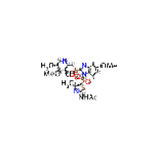 COc1ccc2c(c1)nc([S+]([O-])Cc1ncc(C)c(OC)c1C)n2S(=O)(=O)c1sc(NC(C)=O)nc1C